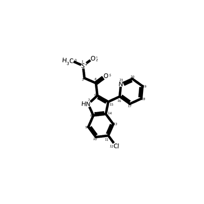 C[S+]([O-])CC(=O)c1[nH]c2ccc(Cl)cc2c1-c1ccccn1